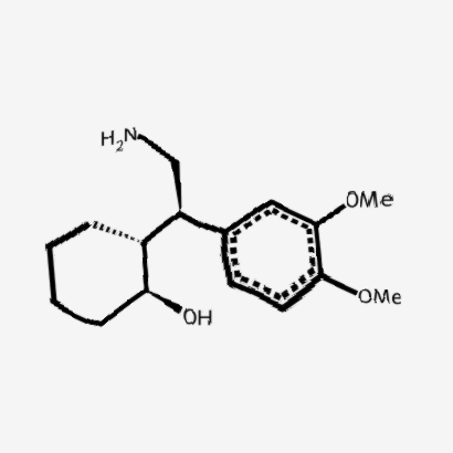 COc1ccc([C@H](CN)[C@H]2CCCC[C@@H]2O)cc1OC